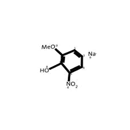 COc1cccc([N+](=O)[O-])c1O.[Na]